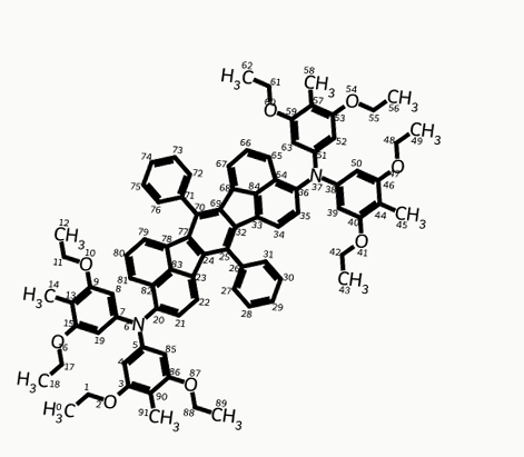 CCOc1cc(N(c2cc(OCC)c(C)c(OCC)c2)c2ccc3c4c(-c5ccccc5)c5c6ccc(N(c7cc(OCC)c(C)c(OCC)c7)c7cc(OCC)c(C)c(OCC)c7)c7cccc(c5c(-c5ccccc5)c4c4cccc2c43)c76)cc(OCC)c1C